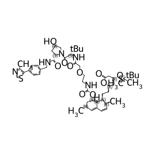 Cc1ncsc1-c1ccc(CNC(=O)[C@@H]2C[C@@H](O)CN2C(=O)[C@@H](NC(=O)COCCNC(=O)O[C@H]2C[C@@H](C)C=C3C=C[C@H](C)[C@H](CC[C@@H]4C[C@@H](O[Si](C)(C)C(C)(C)C)CC(=O)O4)[C@H]32)C(C)(C)C)cc1